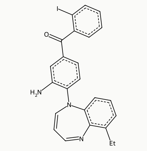 CCc1cccc2c1N=CC=CN2c1ccc(C(=O)c2ccccc2I)cc1N